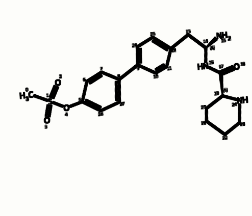 CS(=O)(=O)Oc1ccc(-c2ccc(C[C@@H](N)NC(=O)[C@@H]3CCCCN3)cc2)cc1